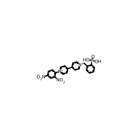 O=[N+]([O-])c1ccc(-[n+]2ccc(-c3cc[n+](Cc4ccccc4P(=O)(O)O)cc3)cc2)c([N+](=O)[O-])c1